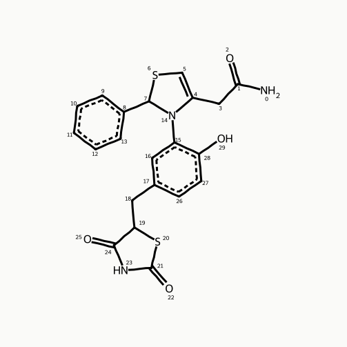 NC(=O)CC1=CSC(c2ccccc2)N1c1cc(CC2SC(=O)NC2=O)ccc1O